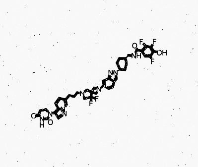 O=C1CCN(c2cnn3cc(CCCN4CC(F)(F)C5(C4)CN(c4ccc6cn([C@H]7CC[C@H](CNC(=O)c8cc(F)c(O)c(F)c8F)CC7)nc6c4)C5)ccc23)C(=O)N1